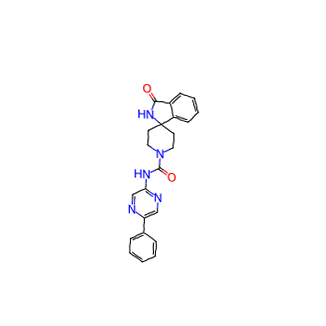 O=C1NC2(CCN(C(=O)Nc3cnc(-c4ccccc4)cn3)CC2)c2ccccc21